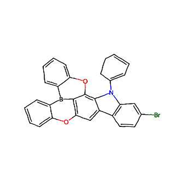 Brc1ccc2c3cc4c5c(c3n(C3=CC=CCC3)c2c1)Oc1ccccc1B5c1ccccc1O4